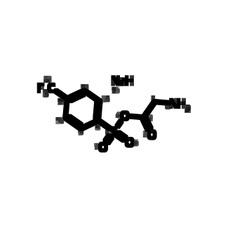 NCC(=O)OS(=O)(=O)c1ccc(C(F)(F)F)cc1.[NaH]